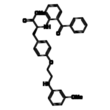 COC(=O)[C@H](Cc1ccc(OCCNc2cccc(OC)c2)cc1)Nc1ccccc1C(=O)c1ccccc1